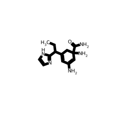 CCC(C1=CC(N)=CC(N)(C(N)=O)C1)c1ncc[nH]1